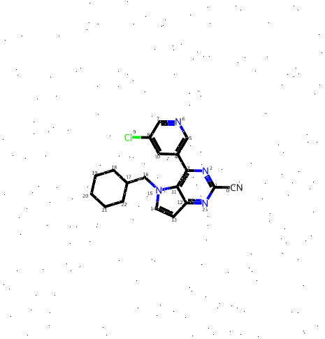 N#Cc1nc(-c2cncc(Cl)c2)c2c(ccn2CC2CCCCC2)n1